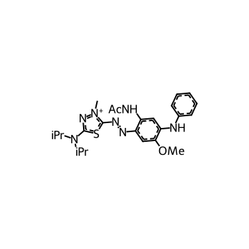 COc1cc(N=Nc2sc(N(C(C)C)C(C)C)n[n+]2C)c(NC(C)=O)cc1Nc1ccccc1